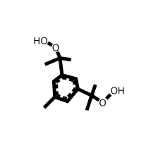 Cc1cc(C(C)(C)OO)cc(C(C)(C)OO)c1